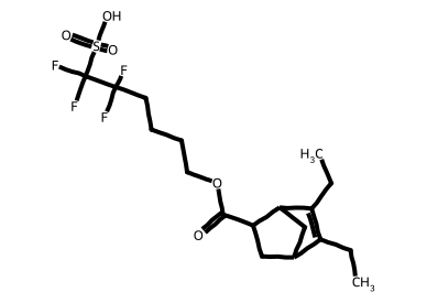 CCC1=C(CC)C2CC1CC2C(=O)OCCCCC(F)(F)C(F)(F)S(=O)(=O)O